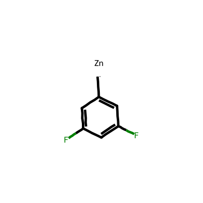 [CH2]c1cc(F)cc(F)c1.[Zn]